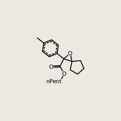 CCCCCOC(=O)C1(c2ccc(C)cc2)OC12CCCC2